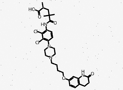 CC(CC(C)(C)C(=O)Nc1ccc(N2CCN(CCCCOc3ccc4c(c3)NC(=O)CC4)CC2)c(Cl)c1Cl)C(=O)O